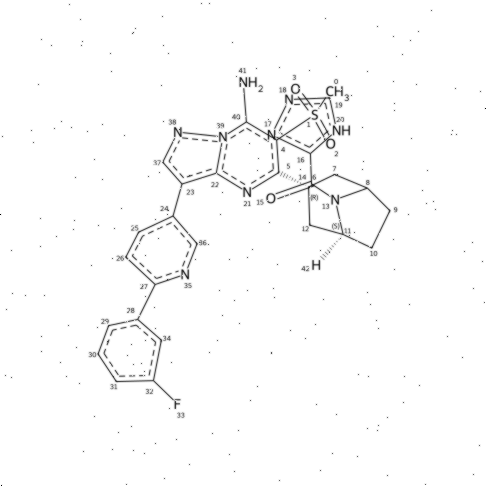 CS(=O)(=O)c1c([C@@H]2CC3CC[C@@H](C2)N3C(=O)c2nnc[nH]2)nc2c(-c3ccc(-c4cccc(F)c4)nc3)cnn2c1N